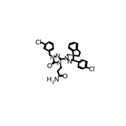 NC(=O)CCn1c(N2C[C@@]3(CCc4ccccc43)C(c3ccc(Cl)cc3)=N2)nn(Cc2cccc(Cl)c2)c1=O